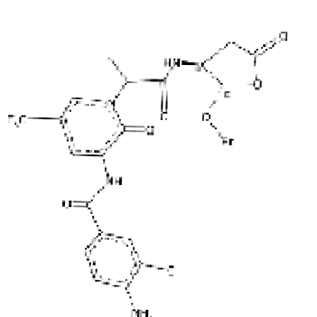 CCO[C@H]1OC(=O)C[C@@H]1NC(=O)C(C)n1cc(C(F)(F)F)cc(NC(=O)c2ccc(N)c(Cl)c2)c1=O